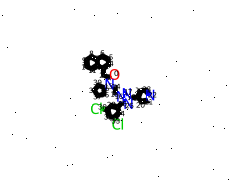 O=C(Cc1cccc2ccccc12)N(CCn1nc(-c2ccncc2)nc1-c1cc(Cl)cc(Cl)c1)C1CCCC1